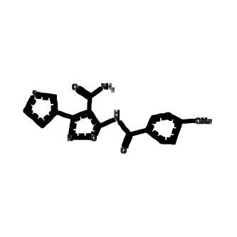 COc1ccc(C(=O)Nc2onc(-c3ccsc3)c2C(N)=O)cc1